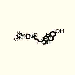 COc1cncc(N2CCN(C(=O)CC[C@@H](C)[C@H]3CC[C@H]4[C@@H]5CC=C6C[C@@H](O)CC[C@]6(C)[C@H]5CC[C@]34C)CC2)n1